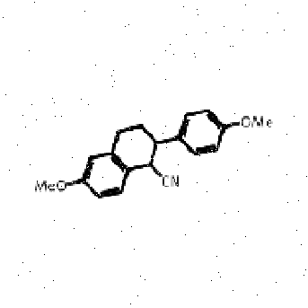 COc1ccc(C2CCc3cc(OC)ccc3C2C#N)cc1